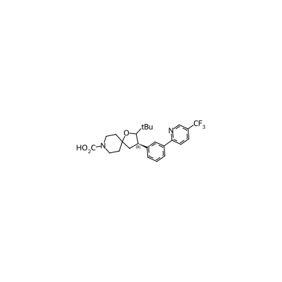 CC(C)(C)C1OC2(CCN(C(=O)O)CC2)C[C@@H]1c1cccc(-c2ccc(C(F)(F)F)cn2)c1